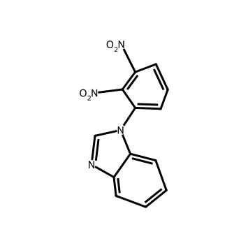 O=[N+]([O-])c1cccc(-n2cnc3ccccc32)c1[N+](=O)[O-]